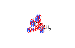 CC(NC(=O)CCN1C(=O)N=NC1=O)OCCOCC(COCCOC(C)NC(=O)CCN1C(=O)N=NC1=O)OCCOCCOC(COCCOCCNC(=O)CCN1C(=O)N=NC1=O)COCCOCCNC(=O)CCN1C(=O)N=NC1=O